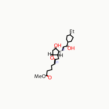 CCC1CCC([C@H](O)/C=C/[C@@H]2[C@H]3C/C(=C/CCCC(=O)OC)O[C@@H]3C[C@H]2O)CC1